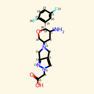 NC1CC(N2Cc3cn(CC(=O)O)nc3C2)CO[C@@H]1c1cc(F)ccc1F